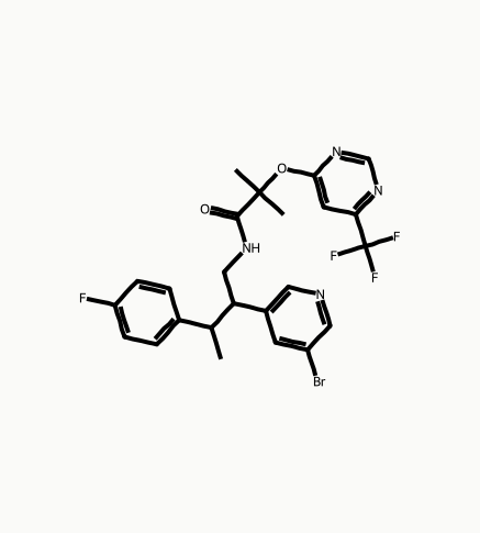 CC(c1ccc(F)cc1)C(CNC(=O)C(C)(C)Oc1cc(C(F)(F)F)ncn1)c1cncc(Br)c1